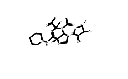 CC(=O)N1C2N([C@@H]3O[C@H](C)C(O)C3O)C=NC2(F)C(NN2CCCCC2)=NC1(Cl)C(C)=O